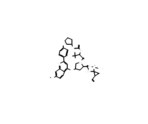 C=CC1CC1(NC(=O)C1CC(Oc2cc(-c3ccc(C)cc3)nc3cc(OC)ccc23)CN1C(=O)C(NC(=O)OC1CCCC1)C(C)(C)C)P(C)(C)=O